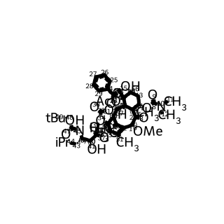 CO[C@H]1C(=O)[C@]2(C)[C@@H](OC(=O)N(C)C)C[C@H]3OC[C@@]3(OC(C)=O)[C@H]2[C@H](OC(=O)c2ccccc2)[C@]23OC(=O)O[C@H]2[C@H](OC(=O)[C@H](O)[C@H](CC(C)C)NC(=O)OC(C)(C)C)C(C)=C1C3(C)C